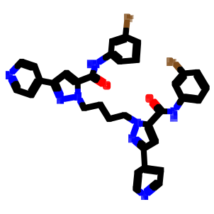 O=C(Nc1cccc(Br)c1)c1cc(-c2ccncc2)nn1CCCCn1nc(-c2ccncc2)cc1C(=O)Nc1cccc(Br)c1